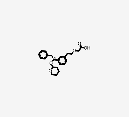 O=C(O)COCCc1cccc([C@H](Cc2ccccc2)OC2CCCCO2)c1